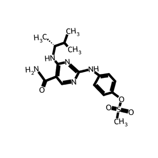 CC(C)[C@@H](C)Nc1nc(Nc2ccc(OS(C)(=O)=O)cc2)ncc1C(N)=O